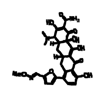 CO/N=C/c1ccc(-c2ccc(O)c3c2C[C@@H]2C[C@@H]4C(N(C)C)C(O)=C(C(N)=O)C(=O)[C@]4(O)C(O)=C2C3=O)o1